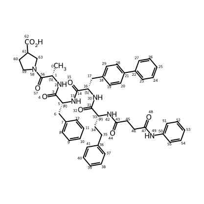 C[C@H](NC(=O)[C@@H](Cc1ccccc1)NC(=O)[C@H](Cc1ccc(-c2ccccc2)cc1)NC(=O)[C@@H](CCc1ccccc1)NC(=O)CCC(=O)Nc1ccccc1)C(=O)N1CCC(C(=O)O)C1